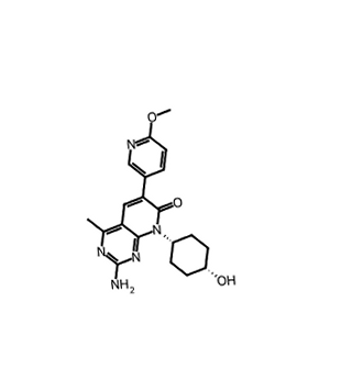 COc1ccc(-c2cc3c(C)nc(N)nc3n([C@H]3CC[C@@H](O)CC3)c2=O)cn1